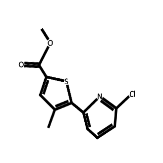 COC(=O)c1cc(C)c(-c2cccc(Cl)n2)s1